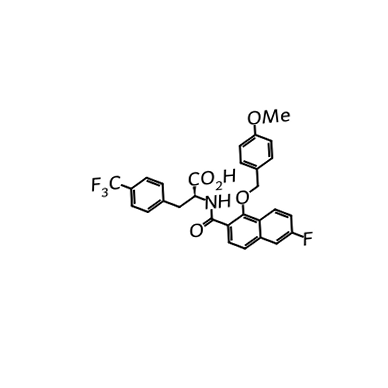 COc1ccc(COc2c(C(=O)N[C@@H](Cc3ccc(C(F)(F)F)cc3)C(=O)O)ccc3cc(F)ccc23)cc1